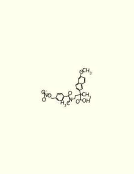 COc1ccc2cc([C@](C)(CCN(C)C(=O)c3ccc(CO[N+](=O)[O-])cc3)C(=O)O)ccc2c1